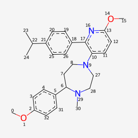 COc1ccc(C2CCN(c3ccc(OC)nc3-c3ccc(C(C)C)cc3)CCN2C)cc1